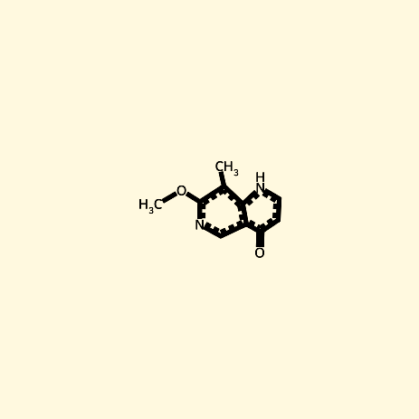 COc1ncc2c(=O)cc[nH]c2c1C